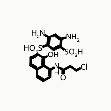 Nc1cc(N)c(S(=O)(=O)O)cc1S(=O)(=O)O.O=C(CCCl)Nc1cccc2cccc(O)c12